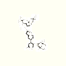 Cc1cc(-c2ccn3nc(Nc4cn(CC(C)(C)O)nc4C(=O)C(F)(F)F)cc3c2)c(OC2C[C@H]3COC[C@@H](C2)N3)cn1